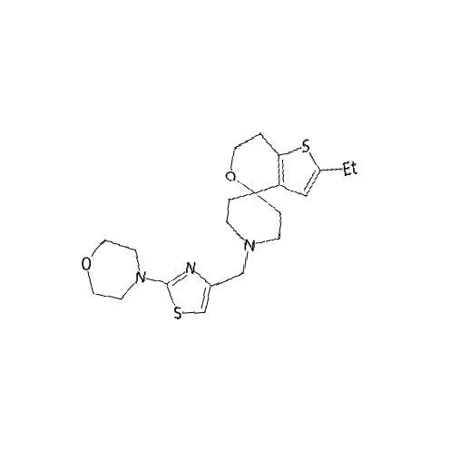 CCc1cc2c(s1)CCOC21CCN(Cc2csc(N3CCOCC3)n2)CC1